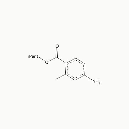 [CH2]C(CCC)OC(=O)c1ccc(N)cc1C